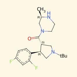 C[C@@H]1CN(C(=O)[C@@H]2CN(C(C)(C)C)C[C@H]2c2ccc(F)cc2F)CCN1